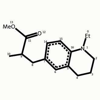 CCN1CCCc2cc(CC(C)C(=O)OC)ccc21